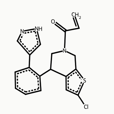 C=CC(=O)N1Cc2sc(Cl)cc2C(c2ccccc2-c2cn[nH]c2)C1